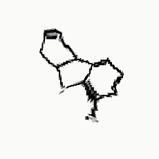 Brc1cccc2c1OC1CC=CC21